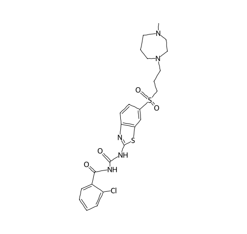 CN1CCCN(CCCS(=O)(=O)c2ccc3nc(NC(=O)NC(=O)c4ccccc4Cl)sc3c2)CC1